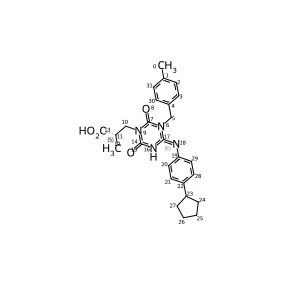 Cc1ccc(Cn2c(=O)n(C[C@H](C)C(=O)O)c(=O)[nH]/c2=N\c2ccc(C3CCCC3)cc2)cc1